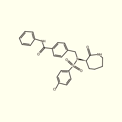 O=C(Nc1ccccc1)c1ccc(CN([C@@H]2CCCCNC2=O)S(=O)(=O)c2ccc(Cl)cc2)cc1